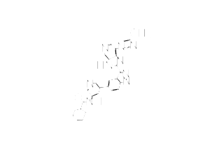 Cc1cn(-c2cncc3[nH]c(-c4n[nH]c5ccc(-c6cncc(NC(=O)C7CCCCC7)c6)cc45)nc23)cn1